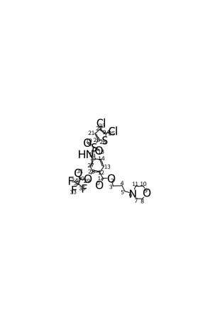 O=C(OCCCN1CCOCC1)c1ccc(NS(=O)(=O)c2cc(Cl)c(Cl)s2)cc1OC(=O)C(F)(F)F